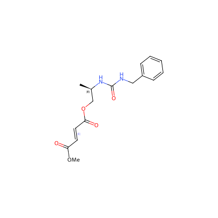 COC(=O)/C=C/C(=O)OC[C@@H](C)NC(=O)NCc1ccccc1